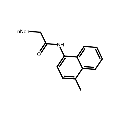 CCCCCCCCCCC(=O)Nc1ccc(C)c2ccccc12